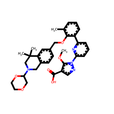 COc1c(C(=O)O)cnn1-c1cccc(-c2cccc(C)c2OCc2ccc3c(c2)C(C)(C)CN(C2COCCO2)C3)n1